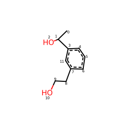 CC(O)c1cccc(CCO)c1